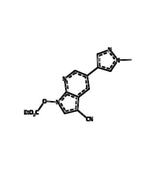 CCOC(=O)On1cc(C#N)c2cc(-c3cnn(C)c3)cnc21